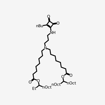 CCCCCCCCC(CC)OC(=O)CCCCCCCN(CCCCCCCC(=O)OC(CCCCCCCC)CCCCCCCC)CCCNc1c(CCCC)c(=O)c1=O